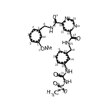 COc1cccc(CNC(=O)c2cc(C(=O)NCc3cccc(NC(=O)NS(C)(=O)=O)c3)ncn2)c1